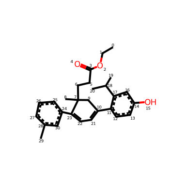 CCOC(=O)CCC1(C)CC(c2ccc(O)cc2C(C)C)=CC=C1c1cccc(C)c1